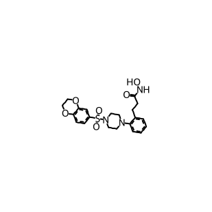 O=C(CCc1ccccc1N1CCN(S(=O)(=O)c2ccc3c(c2)OCCO3)CC1)NO